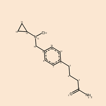 NC(=O)CCCc1ccc(CN(Cl)C2CC2)cc1